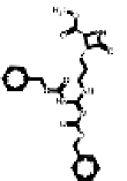 COC(=O)[C@H]1NC(=O)[C@@H]1CCCNC(=NC(=O)OCc1ccccc1)NC(=O)OCc1ccccc1